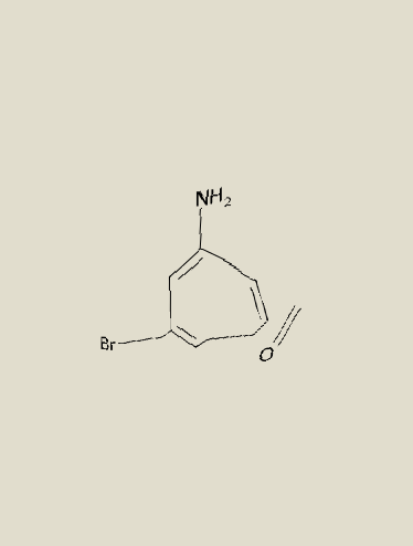 C=O.Nc1cccc(Br)c1